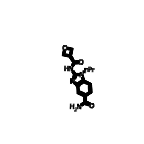 CCCn1c(NC(=O)C2COC2)nc2cc(C(N)=O)ccc21